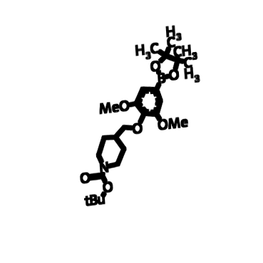 COc1cc(B2OC(C)(C)C(C)(C)O2)cc(OC)c1OCC1CCN(C(=O)OC(C)(C)C)CC1